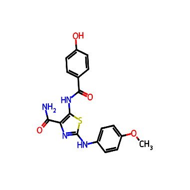 COc1ccc(Nc2nc(C(N)=O)c(NC(=O)c3ccc(O)cc3)s2)cc1